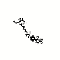 CC(C)(C)OC(=O)CCCCCNC(=O)COc1ccc(C2CCC(=O)NC2=O)cc1